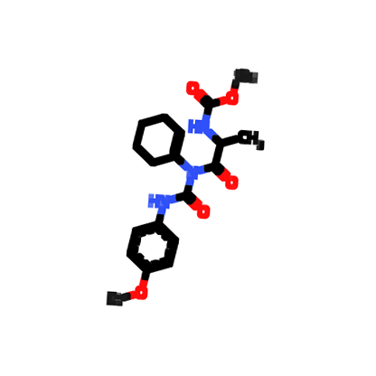 CCOc1ccc(NC(=O)N(C(=O)C(C)NC(=O)OC(C)(C)C)C2=CCCCC2)cc1